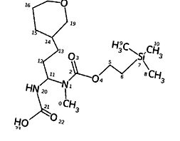 CN(C(=O)OCC[Si](C)(C)C)C(CCC1CCCOC1)NC(=O)O